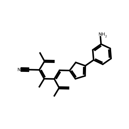 C=C(C)C(=C\C1=CC=C(c2cccc(N)c2)C1)/C(C)=C(/C#N)C(=C)C